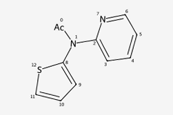 CC(=O)N(c1ccccn1)c1cccs1